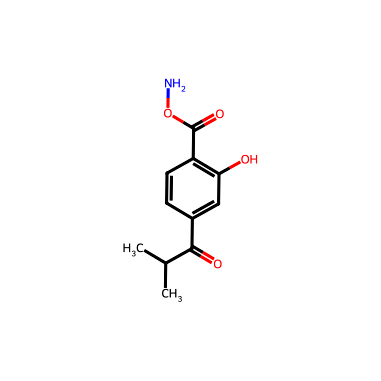 CC(C)C(=O)c1ccc(C(=O)ON)c(O)c1